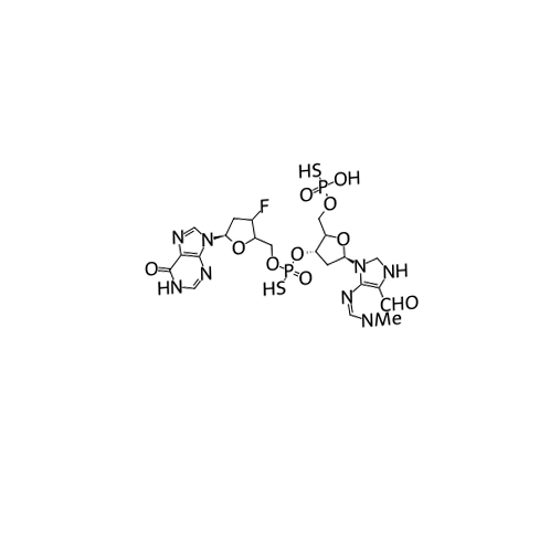 CN/C=N\C1=C(C=O)NCN1[C@H]1C[C@H](OP(=O)(S)OCC2O[C@@H](n3cnc4c(=O)[nH]cnc43)CC2F)C(COP(=O)(O)S)O1